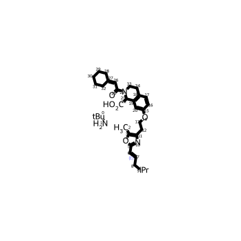 CC(C)(C)N.Cc1oc(/C=C/CC(C)C)nc1CCOc1ccc2c(c1)C(C(=O)O)N(C(=O)C=C1CCCCC1)CC2